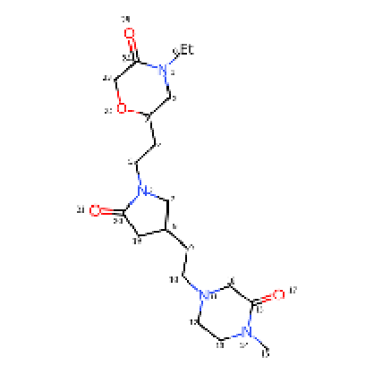 CCN1CC(CCN2CC(CCN3CCN(C)C(=O)C3)CC2=O)OCC1=O